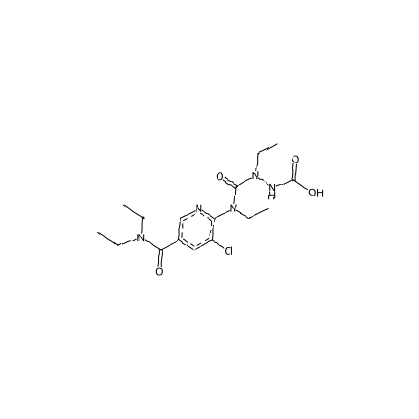 CCN(CC)C(=O)c1cnc(N(CC)C(=O)N(CC)NC(=O)O)c(Cl)c1